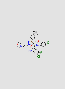 Cc1ccc(SC2(C(=O)NCCCN3CCOCC3)CC(=O)N(Cc3ccc(Cl)cc3)[C@H]2c2c[nH]c3cc(Cl)c(F)cc23)cc1